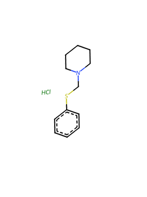 Cl.c1ccc(SCN2CCCCC2)cc1